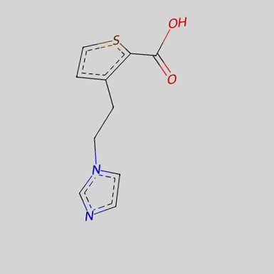 O=C(O)c1sccc1CCn1ccnc1